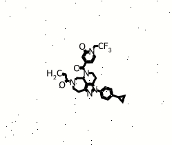 C=CC(=O)N1CCc2nn(-c3ccc(C4CC4)cc3)c3c2C(C1)N(C(=O)c1ccn(CC(F)(F)F)c(=O)c1)CC3